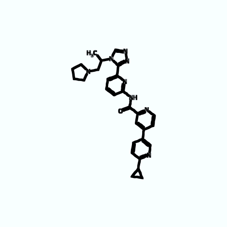 CC(CN1CCCC1)n1cnnc1-c1cccc(NC(=O)c2cc(-c3ccc(C4CC4)nc3)ccn2)n1